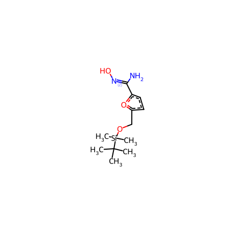 CC(C)(C)[Si](C)(C)OCc1ccc(/C(N)=N/O)o1